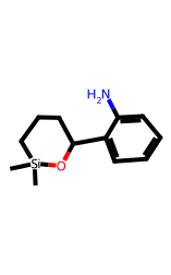 C[Si]1(C)CCCC(c2ccccc2N)O1